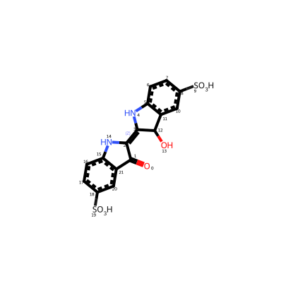 O=C1/C(=C2/Nc3ccc(S(=O)(=O)O)cc3C2O)Nc2ccc(S(=O)(=O)O)cc21